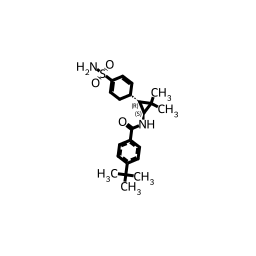 CC(C)(C)c1ccc(C(=O)N[C@H]2[C@H](C3C=CC(S(N)(=O)=O)=CC3)C2(C)C)cc1